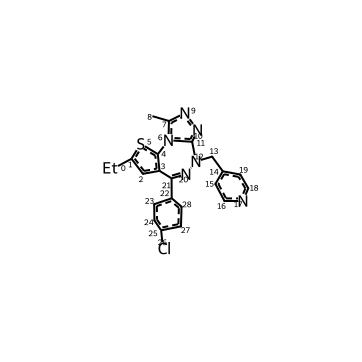 CCc1cc2c(s1)-n1c(C)nnc1N(Cc1ccncc1)N=C2c1ccc(Cl)cc1